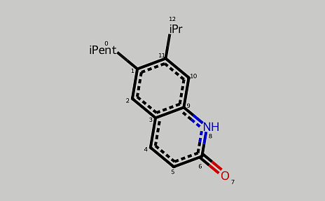 CCCC(C)c1cc2ccc(=O)[nH]c2cc1C(C)C